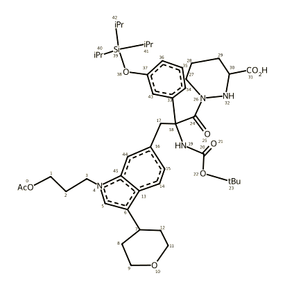 CC(=O)OCCCn1cc(C2CCOCC2)c2ccc(CC(NC(=O)OC(C)(C)C)(C(=O)N3CCCC(C(=O)O)N3)c3cccc(O[Si](C(C)C)(C(C)C)C(C)C)c3)cc21